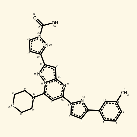 Cc1cccc(-c2ccn(-c3cc(N4CCOCC4)n4nc(-c5ccn(C(=O)O)n5)cc4n3)n2)c1